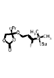 CCCC1(OC/C=C(\F)[Si](C)(C)C(C)(C)C)COC(=O)O1